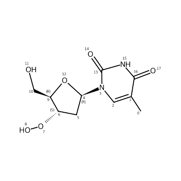 Cc1cn([C@H]2C[C@H](OO)[C@@H](CO)O2)c(=O)[nH]c1=O